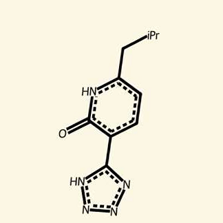 CC(C)Cc1ccc(-c2nnn[nH]2)c(=O)[nH]1